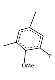 COc1c(C)cc(C)cc1F